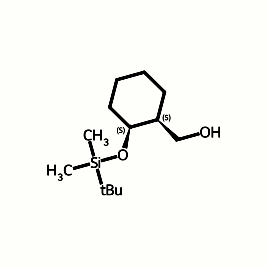 CC(C)(C)[Si](C)(C)O[C@H]1CCCC[C@H]1CO